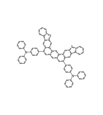 c1ccc(N(c2ccccc2)c2ccc(-c3cc4cc5cc(-c6ccc(N(c7ccccc7)c7ccccc7)cc6)c6cc7c(cc6c5cc4c4cc5sc6ccccc6c5cc34)sc3ccccc37)cc2)cc1